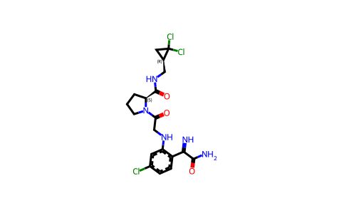 N=C(C(N)=O)c1ccc(Cl)cc1NCC(=O)N1CCC[C@H]1C(=O)NC[C@H]1CC1(Cl)Cl